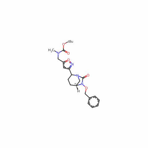 CN(Cc1cc(C2CC[C@@H]3CN2C(=O)N3OCc2ccccc2)no1)C(=O)OC(C)(C)C